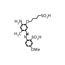 COc1ccc(N=Nc2cc(OCCCCS(=O)(=O)O)c(N)cc2C)c(S(=O)(=O)O)c1